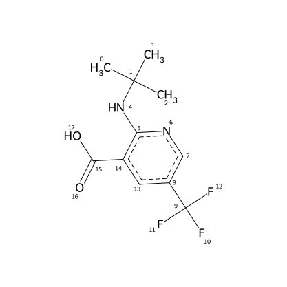 CC(C)(C)Nc1ncc(C(F)(F)F)cc1C(=O)O